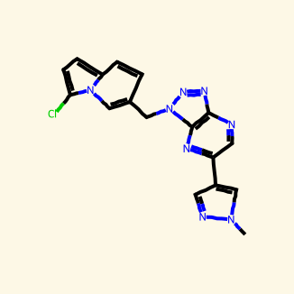 Cn1cc(-c2cnc3nnn(Cc4ccc5ccc(Cl)n5c4)c3n2)cn1